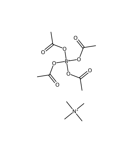 CC(=O)O[B-](OC(C)=O)(OC(C)=O)OC(C)=O.C[N+](C)(C)C